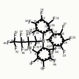 Fc1c(F)c(F)c([B-](c2c(F)c(F)c(F)c(F)c2F)(c2c(F)c(F)c(F)c(F)c2F)C(F)(F)C(F)(F)C(F)(F)C(F)(F)F)c(F)c1F